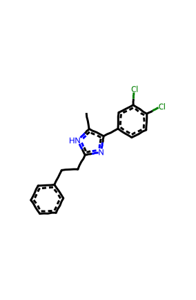 Cc1[nH]c(CCc2ccccc2)nc1-c1ccc(Cl)c(Cl)c1